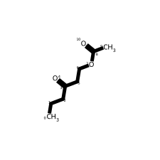 CCCC(=O)CCOC(C)=O